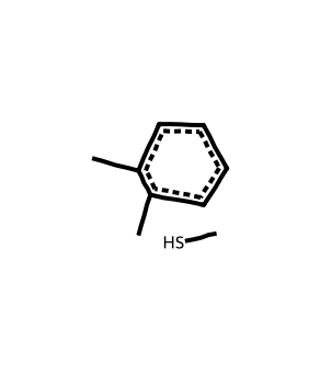 CS.Cc1ccccc1C